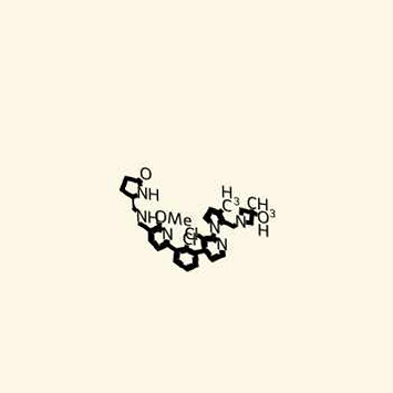 COc1nc(-c2cccc(-c3ccnc(-n4ccc(C)c4CN4CC(C)(O)C4)c3Cl)c2Cl)ccc1CNC[C@H]1CCC(=O)N1